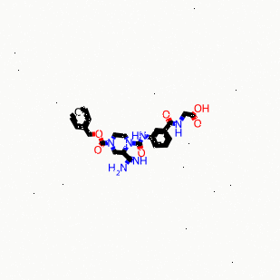 N=C(N)C1CN(C(=O)OCc2ccccc2)CCN1C(=O)Nc1cccc(C(=O)NCC(=O)O)c1